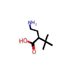 CC(C)(C)C(CCN)C(=O)O